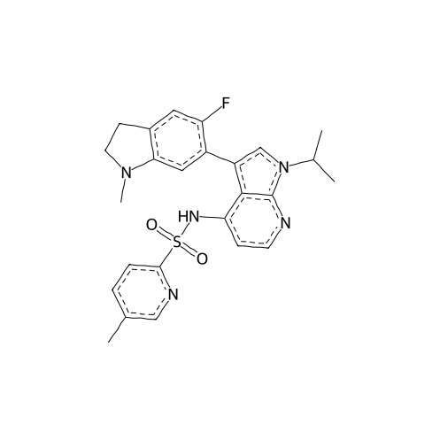 Cc1ccc(S(=O)(=O)Nc2ccnc3c2c(-c2cc4c(cc2F)CCN4C)cn3C(C)C)nc1